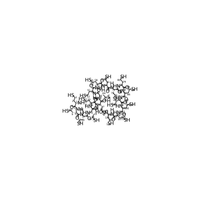 N[C@@H](CCS)C(=O)N[C@@H](CCS)C(=O)N[C@@H](CCS)C(=O)N[C@@H](CCS)C(=O)N[C@@H](CCS)C(=O)N[C@@H](CCS)C(=O)N[C@@H](CCS)C(=O)N[C@@H](CCS)C(=O)N[C@@H](CCS)C(=O)N[C@@H](CCS)C(=O)N[C@@H](CCS)C(=O)N[C@@H](CCS)C(=O)N[C@@H](CCS)C(=O)N[C@@H](CCS)C(=O)N[C@@H](CCS)C(=O)N[C@@H](CCS)C(=O)N[C@@H](CCS)C(=O)O